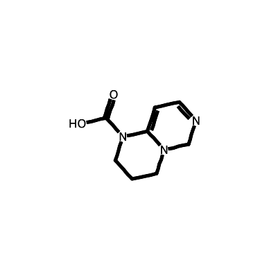 O=C(O)N1CCCN2CN=CC=C21